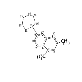 CC(=O)/C=C(/C)c1ccc(C2CCCCCC2)cc1